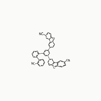 N#Cc1ccc2oc3ccc(-c4cc(-c5ccc6oc7ccc(C#N)cc7c6c5)cc(-c5ccccc5-c5ccccc5C#N)c4)cc3c2c1